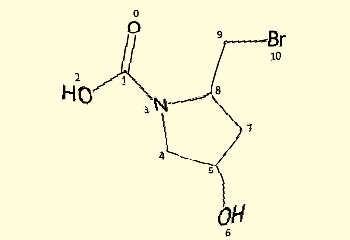 O=C(O)N1CC(O)CC1CBr